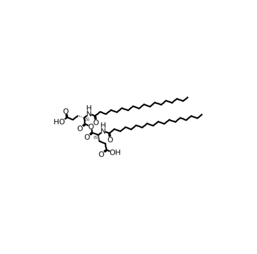 CCCCCCCCCCCCCCCCCC(=O)N[C@@H](CCC(=O)O)C(=O)OC(=O)[C@H](CCC(=O)O)NC(=O)CCCCCCCCCCCCCCCCC